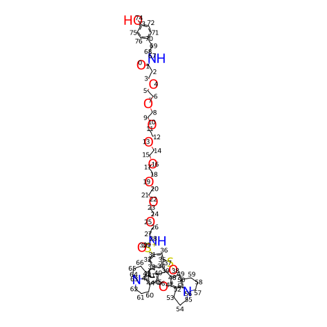 O=C(CCOCCOCCOCCOCCOCCOCCOCCOCCN[S+]([O-])c1ccc2c(c1)SOC21c2cc3c4c(c2Oc2c1cc1c5c2CCCN5CCC1)CCCN4CCC3)NCCc1ccc(O)cc1